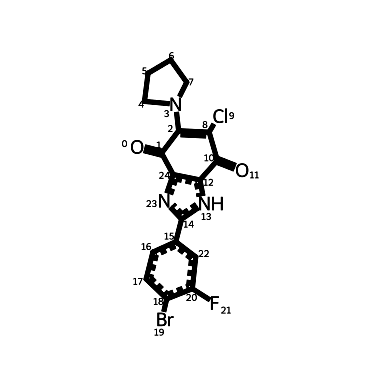 O=C1C(N2CCCC2)=C(Cl)C(=O)c2[nH]c(-c3ccc(Br)c(F)c3)nc21